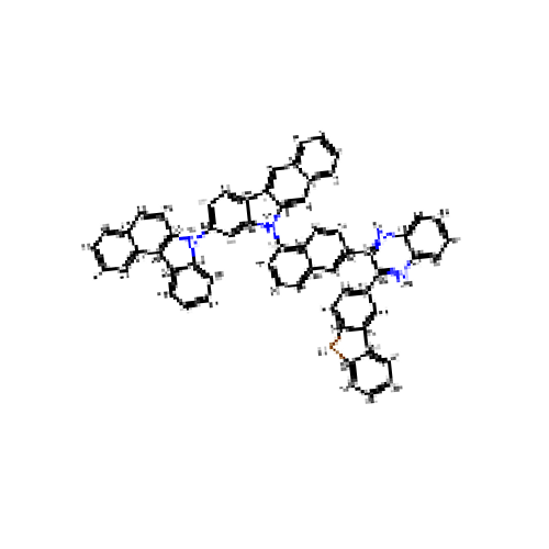 c1ccc2cc3c(cc2c1)c1ccc(-n2c4ccccc4c4c5ccccc5ccc42)cc1n3-c1cccc2cc(-c3nc4ccccc4nc3-c3ccc4sc5ccccc5c4c3)ccc12